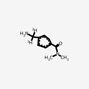 [2H]C([2H])(N)c1ccc(C(=O)N(C)C)cc1